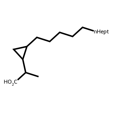 CCCCCCCCCCCCC1CC1C(C)C(=O)O